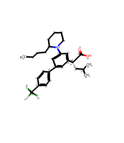 CCCCC1CCCCN1c1cc(-c2ccc(C(F)(F)F)cc2)cc([C@@H](CC(C)C)C(=O)O)c1